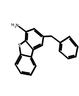 Nc1cc(Cc2ccccc2)cc2c1sc1ccccc12